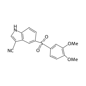 COc1ccc(S(=O)(=O)c2ccc3[nH]cc(C#N)c3c2)cc1OC